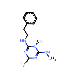 CNC1=NC(C)N=C(NCCc2ccccc2)N1C